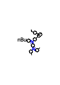 C=Cc1ccc(C23CC4CC(C2)CC(c2ccc(N(c5ccc(CCCC)cc5)c5ccc(N(c6cccc(C)c6)c6cccc(C)c6)cc5)cc2)(C4)C3)cc1